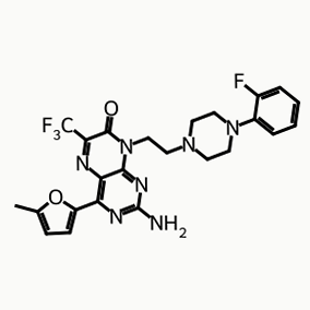 Cc1ccc(-c2nc(N)nc3c2nc(C(F)(F)F)c(=O)n3CCN2CCN(c3ccccc3F)CC2)o1